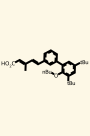 CCCCOc1c(-c2cccc(/C=C/C(C)=C/C(=O)O)c2)cc(C(C)(C)C)cc1C(C)(C)C